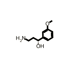 COc1cccc([C@H](O)CCN)c1